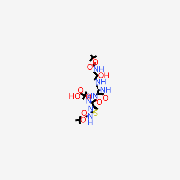 CC(C)(C)OC(=O)NC[C@H](O)CNC[C@H]1NC(=O)[C@H]1NC(=O)/C(=N\OC(C)(C)C(=O)O)c1csc(NC(=O)OC(C)(C)C)n1